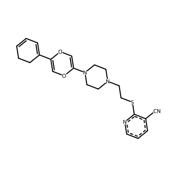 N#Cc1cccnc1SCCN1CCN(C2=COC(C3=CC=CCC3)=CO2)CC1